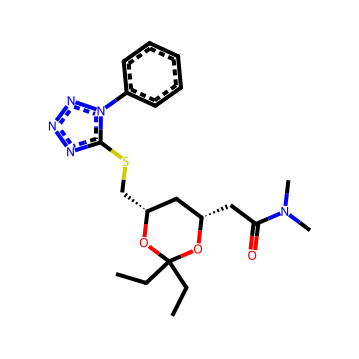 CCC1(CC)O[C@H](CSc2nnnn2-c2ccccc2)C[C@H](CC(=O)N(C)C)O1